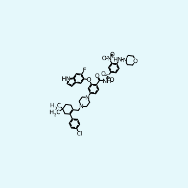 CC1(C)CCC(CN2CCN(c3ccc(C(=O)NS(=O)(=O)c4ccc(NN5CCOCC5)c([N+](=O)[O-])c4)c(Oc4cc5cc[nH]c5cc4F)c3)CC2)=C(c2ccc(Cl)cc2)C1